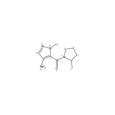 CC1CCCN1C(=O)c1c(N)cnn1C